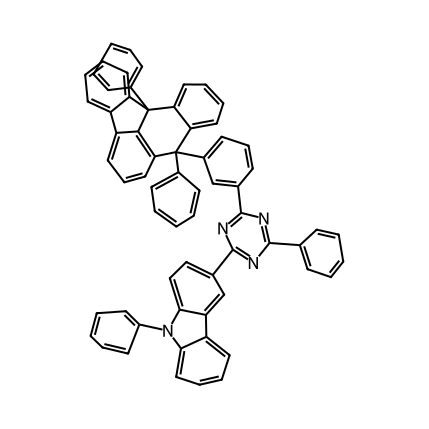 c1ccc(-c2nc(-c3cccc(C4(c5ccccc5)c5ccccc5C5(c6ccccc6)c6ccccc6-c6cccc4c65)c3)nc(-c3ccc4c(c3)c3ccccc3n4-c3ccccc3)n2)cc1